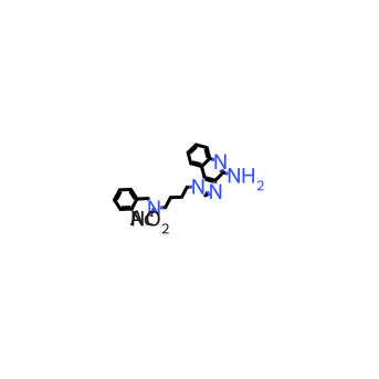 CC(=O)N(CCCCn1cnc2c(N)nc3ccccc3c21)Cc1ccccc1[N+](=O)[O-]